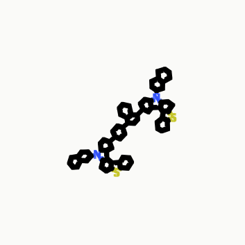 c1ccc2cc(-n3c4ccc(-c5ccc(-c6ccc(-c7ccc8c(c7)c7c9c(ccc7n8-c7ccc8ccccc8c7)sc7ccccc79)c7ccccc67)cc5)cc4c4c5c(ccc43)sc3ccccc35)ccc2c1